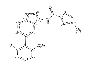 COc1cccc(F)c1-c1cc2c(NC(=O)c3ccn(C)n3)n[nH]c2cn1